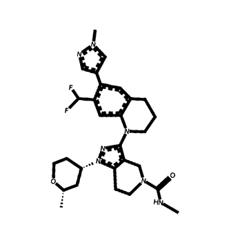 CNC(=O)N1CCc2c(c(N3CCCc4cc(-c5cnn(C)c5)c(C(F)F)cc43)nn2[C@H]2CCO[C@@H](C)C2)C1